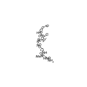 CN[C@@H](CCCNC(N)=O)C(=O)Nc1ccc(COC(=O)N(C)CCN(C)C(=O)Oc2cc3c(c4c(C)csc24)[C@@H](CCl)CN3C(=O)c2cc3cc(OCCN4CCCC4)ccc3[nH]2)cc1